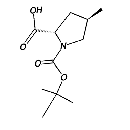 C[C@@H]1C[C@@H](C(=O)O)N(C(=O)OC(C)(C)C)C1